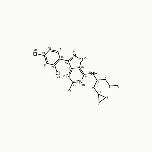 CCCC(CC1CC1)Nc1nc(C)nc2c(-c3ccc(Cl)cc3Cl)noc12